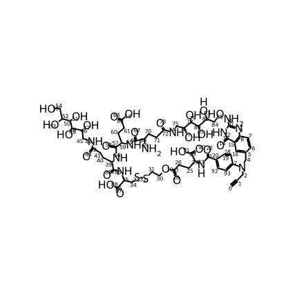 C#CCN(Cc1ccc2nc(N)[nH]c(=O)c2c1)c1ccc(C(=O)NC(CCC(=O)OCCSSCC(NC(=O)C(CCC(=O)NCC(O)C(O)C(O)C(O)CO)NC(=O)C(CCC(=O)O)NC(=O)C(N)CCC(=O)NCC(O)C(O)C(O)C(O)CO)C(=O)O)C(=O)O)cc1